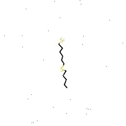 CCCCCSCCCCCC[S]